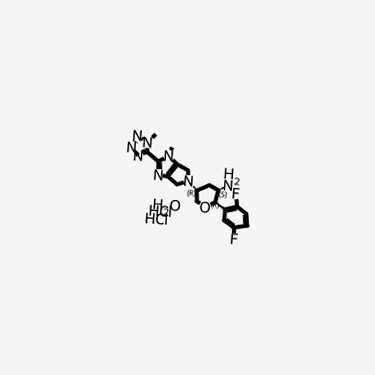 Cl.Cl.Cn1nnnc1-c1nc2c(n1C)CN([C@H]1CO[C@H](c3cc(F)ccc3F)[C@@H](N)C1)C2.O